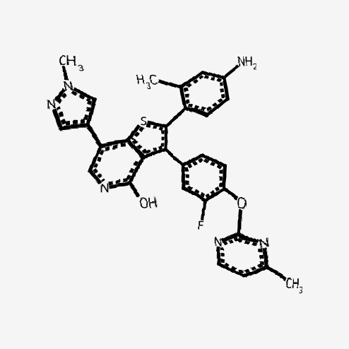 Cc1ccnc(Oc2ccc(-c3c(-c4ccc(N)cc4C)sc4c(-c5cnn(C)c5)cnc(O)c34)cc2F)n1